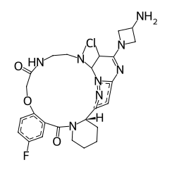 CN1CCNC(=O)COc2ccc(F)cc2C(=O)N2CCCC[C@H]2c2cc3n(n2)C1C(Cl)C(N1CC(N)C1)=N3